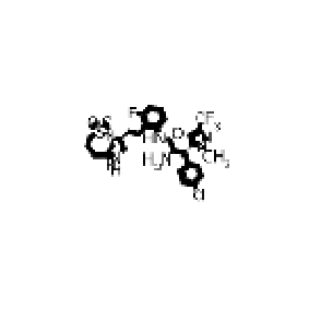 Cn1nc(C(F)(F)F)cc1[C@H](c1ccc(Cl)cc1)[C@H](N)C(=O)Nc1cccc(F)c1CC[C@H]1CN[C@@H]2CCCS(=O)(=O)N1C2